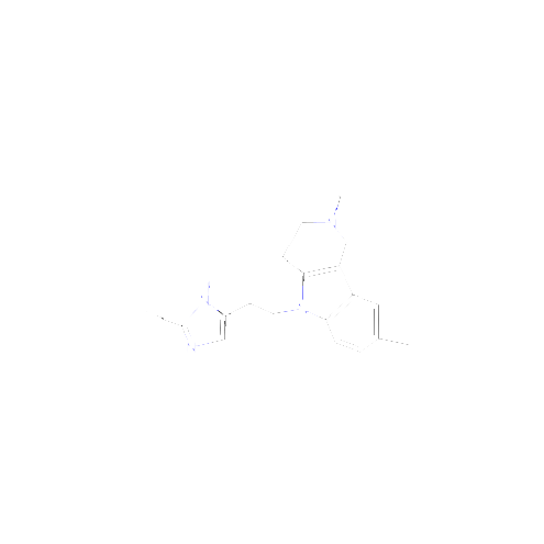 Cc1ccc2c(c1)c1c(n2CCc2cnc(C(C)C)[nH]2)CCN(C)C1